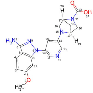 COc1ccc2c(N)nn(-c3cncc(N4C[C@@H]5C[C@H]4CN5C(=O)O)c3)c2c1